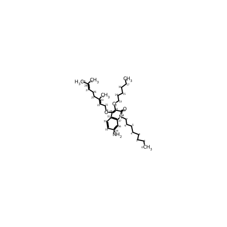 CCCCCCCCn1c(=O)c(OCCCCCC)c(OC/C=C(\C)CCC=C(C)C)c2ccc(N)cc21